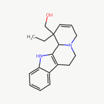 CCC1(CO)C=CCN2CCc3c([nH]c4ccccc34)C21